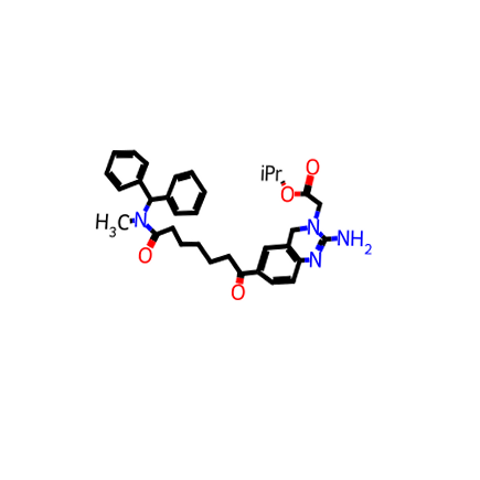 CC(C)OC(=O)CN1Cc2cc(C(=O)CCCCCC(=O)N(C)C(c3ccccc3)c3ccccc3)ccc2N=C1N